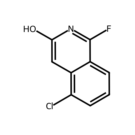 Oc1cc2c(Cl)cccc2c(F)n1